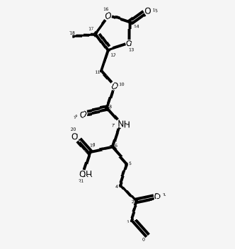 C=CC(=O)CCC(NC(=O)OCc1oc(=O)oc1C)C(=O)O